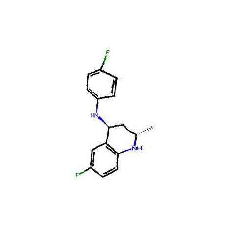 C[C@H]1C[C@H](Nc2ccc(F)cc2)c2cc(F)ccc2N1